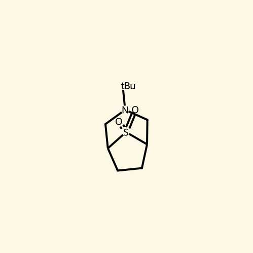 CC(C)(C)N1CC2CCC(C1)S2(=O)=O